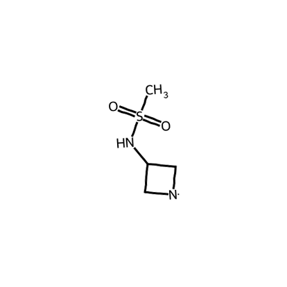 CS(=O)(=O)NC1C[N]C1